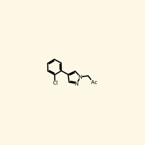 CC(=O)Cn1cc(-c2ccccc2Cl)cn1